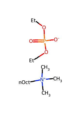 CCCCCCCC[N+](C)(C)C.CCOP(=O)([O-])OCC